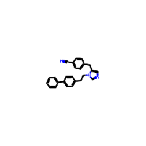 N#Cc1ccc(Cc2cncn2CCc2ccc(-c3ccccc3)cc2)cc1